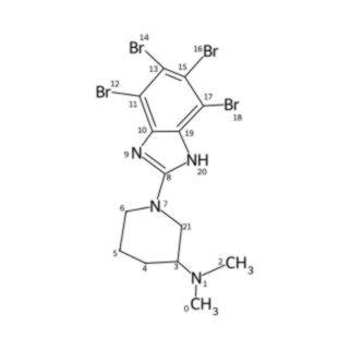 CN(C)C1CCCN(c2nc3c(Br)c(Br)c(Br)c(Br)c3[nH]2)C1